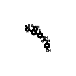 Cc1cnc(-c2ccc(-c3ccc(NC(=O)Nc4ccc(O)cc4)cc3F)c3c2C(=O)NC3)[nH]1